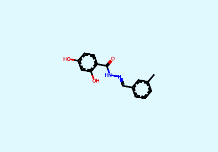 Cc1cccc(C=NNC(=O)c2ccc(O)cc2O)c1